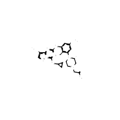 CC[C@H]1CN([C@@H](C)C(N)=O)CCN1c1cc(C#N)cc(Nc2nc(NC3CC3)n3ncc(C#N)c3n2)c1Cl